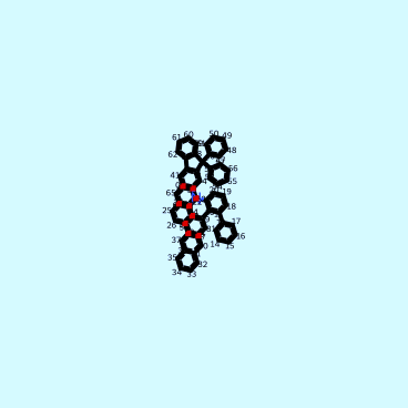 c1ccc(-c2ccccc2-c2c(-c3ccccc3)cccc2N(c2cccc(-c3ccc4ccccc4c3)c2)c2ccc3c(c2)C(c2ccccc2)(c2ccccc2)c2ccccc2-3)cc1